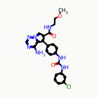 COCCNC(=O)c1cn2ncnc(N)c2c1-c1ccc(NC(=O)Nc2cccc(Cl)c2)cc1